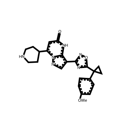 COc1ccc(C2(c3nc(-c4cnn5c(C6CCNCC6)cc(=O)[nH]c45)no3)CC2)cc1